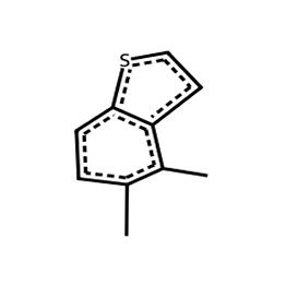 Cc1ccc2sccc2c1C